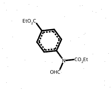 CCOC(=O)c1ccc(N(C=O)C(=O)OCC)cc1